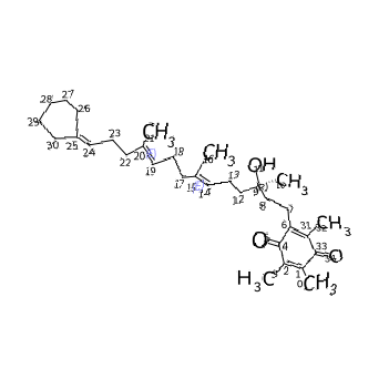 CC1=C(C)C(=O)C(CC[C@](C)(O)CC/C=C(\C)CC/C=C(\C)CCC=C2CCCCC2)=C(C)C1=O